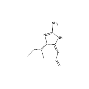 C=C/N=C1/NC(N)=N/C1=C(/C)CC